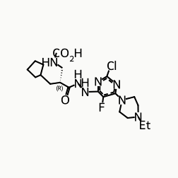 CCN1CCN(c2nc(Cl)nc(NNC(=O)[C@@H](CNC(=O)O)CC3CCCC3)c2F)CC1